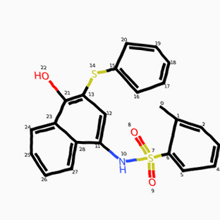 Cc1ccccc1S(=O)(=O)Nc1cc(Sc2ccccc2)c(O)c2ccccc12